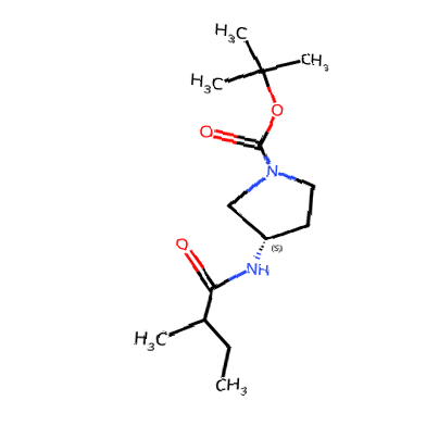 CCC(C)C(=O)N[C@H]1CCN(C(=O)OC(C)(C)C)C1